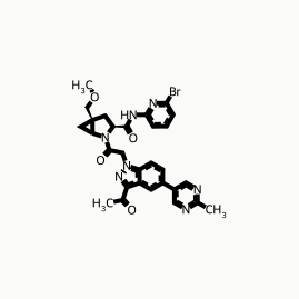 COC[C@]12CC1N(C(=O)Cn1nc(C(C)=O)c3cc(-c4cnc(C)nc4)ccc31)[C@H](C(=O)Nc1cccc(Br)n1)C2